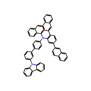 c1cc(-c2ccc(N(c3cc(-c4ccc5ccccc5c4)ccc3-c3ccc4ccccc4c3)c3cccc4ccccc34)cc2)cc(-n2c3ccccc3c3ccccc32)c1